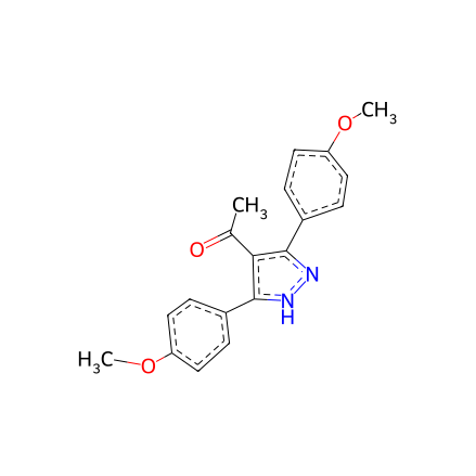 COc1ccc(-c2n[nH]c(-c3ccc(OC)cc3)c2C(C)=O)cc1